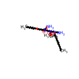 CCCCCCCC/C=C/CCCCCCCC(=O)N(CCCN)CCCCN(CCCN(CCCN)C(=O)CCCCCCC/C=C/CCCCCCCC)C(=O)OC(C)(C)C